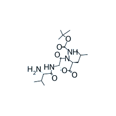 CC(C)C[C@@H](C([O])=O)N(NC(=O)OC(C)(C)C)C(=O)[C@H](C)NC(=O)[C@@H](N)C(C)C